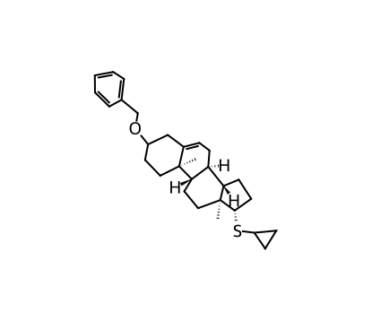 C[C@]12CC[C@H]3[C@@H](CC=C4CC(OCc5ccccc5)CC[C@@]43C)[C@@H]1CC[C@@H]2SC1CC1